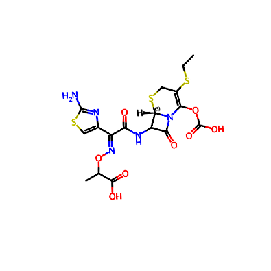 CCSC1=C(OC(=O)O)N2C(=O)C(NC(=O)C(=NOC(C)C(=O)O)c3csc(N)n3)[C@@H]2SC1